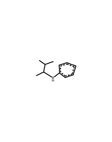 CC(C)C(C)Bc1ccccc1